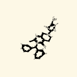 Cc1nc2c(c(=O)n1C(c1ccccc1)c1ccccc1)CCN(c1nc(C(C)(C)C)no1)C2